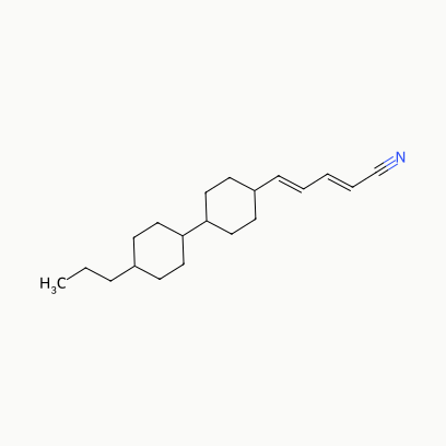 CCCC1CCC(C2CCC(C=CC=CC#N)CC2)CC1